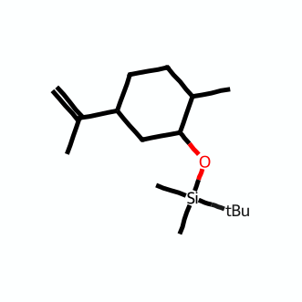 C=C(C)C1CCC(C)C(O[Si](C)(C)C(C)(C)C)C1